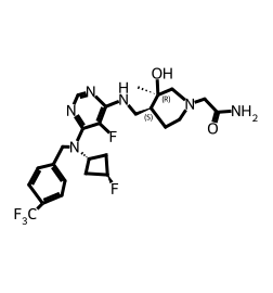 C[C@]1(O)CN(CC(N)=O)CC[C@H]1CNc1ncnc(N(Cc2ccc(C(F)(F)F)cc2)[C@H]2C[C@H](F)C2)c1F